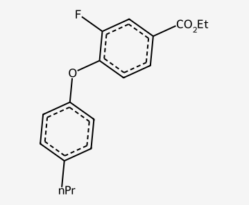 CCCc1ccc(Oc2ccc(C(=O)OCC)cc2F)cc1